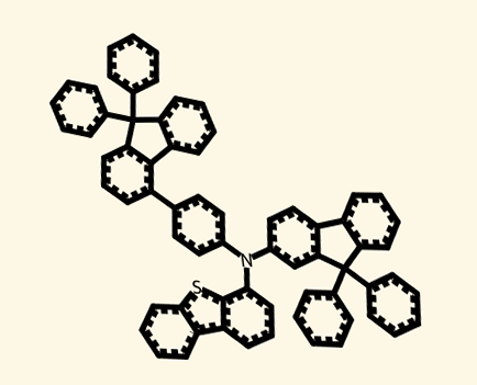 c1ccc(C2(c3ccccc3)c3ccccc3-c3ccc(N(c4ccc(-c5cccc6c5-c5ccccc5C6(c5ccccc5)c5ccccc5)cc4)c4cccc5c4sc4ccccc45)cc32)cc1